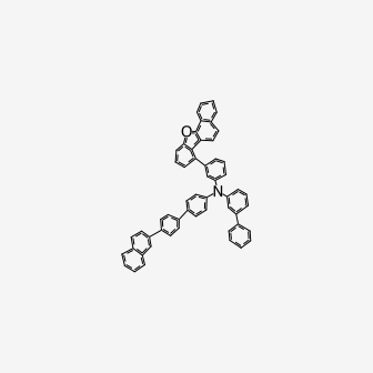 c1ccc(-c2cccc(N(c3ccc(-c4ccc(-c5ccc6ccccc6c5)cc4)cc3)c3cccc(-c4cccc5oc6c7ccccc7ccc6c45)c3)c2)cc1